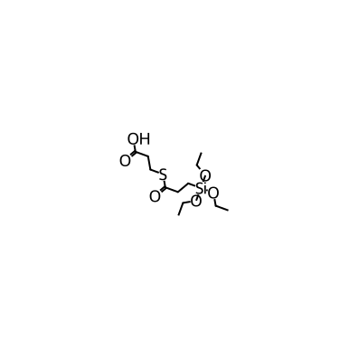 CCO[Si](CCC(=O)SCCC(=O)O)(OCC)OCC